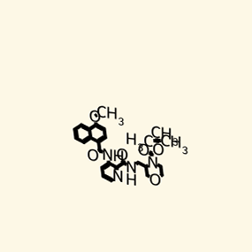 COc1ccc(C(=O)Nc2cccnc2C(=O)NCC2COCCN2C(=O)OC(C)(C)C)c2ccccc12